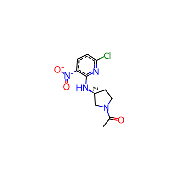 CC(=O)N1CC[C@H](Nc2nc(Cl)ccc2[N+](=O)[O-])C1